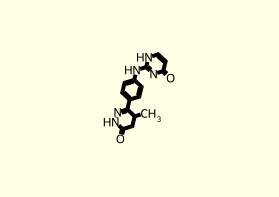 CC1CC(=O)NN=C1c1ccc(Nc2nc(=O)cc[nH]2)cc1